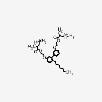 C=C(CNC)C(=O)OCCOc1cccc(-c2cc(OCCOC(=O)C(=C)CNC)ccc2CCCCCCC)c1